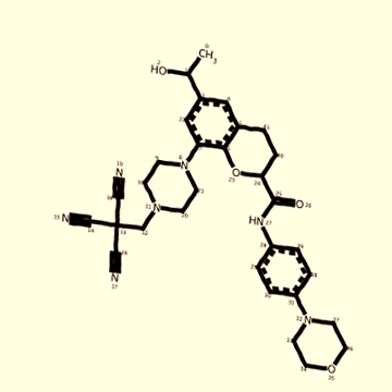 CC(O)c1cc2c(c(N3CCN(CC(C#N)(C#N)C#N)CC3)c1)OC(C(=O)Nc1ccc(N3CCOCC3)cc1)CC2